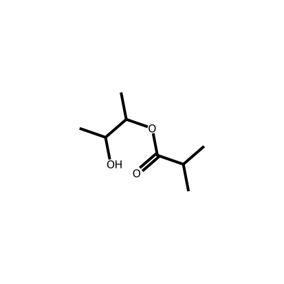 CC(C)C(=O)OC(C)C(C)O